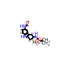 CC(C)(C)OC(=O)NC1CCc2[nH]c3ccc(NC=O)cc3c2C1